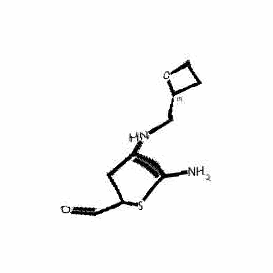 NC1=C(NC[C@@H]2CCO2)CC(C=O)S1